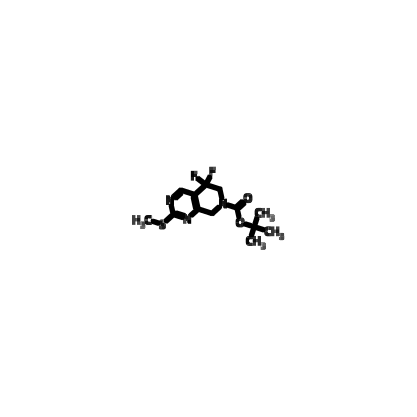 CSc1ncc2c(n1)CN(C(=O)OC(C)(C)C)CC2(F)F